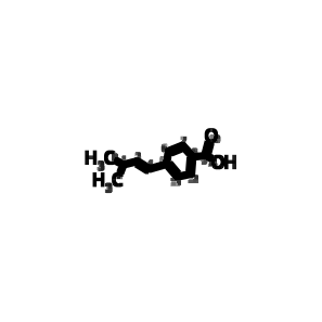 CC(C)C=Cc1ccc(C(=O)O)cc1